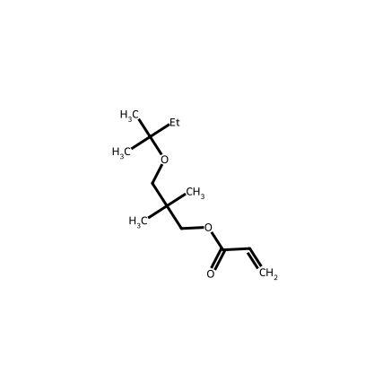 C=CC(=O)OCC(C)(C)COC(C)(C)CC